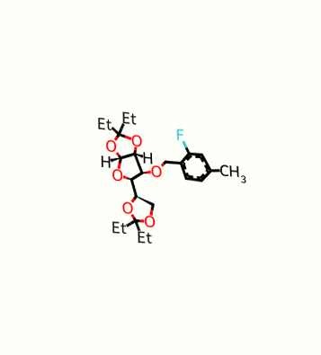 CCC1(CC)O[C@H]2O[C@H]([C@H]3COC(CC)(CC)O3)[C@H](OCc3ccc(C)cc3F)[C@H]2O1